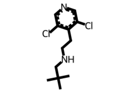 CC(C)(C)CNCCc1c(Cl)cncc1Cl